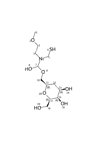 COCCN(CS)C(O)OC[C@H]1C[C@@H](O)[C@@H](O)[C@@H](CO)O1